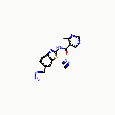 C#N.C#N.Cc1ncncc1C(=O)Nc1nc2ccc(C=NN)cc2s1